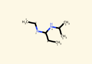 CC[N]C(CC)NC(C)C